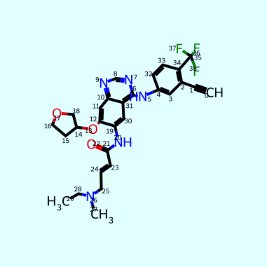 C#Cc1cc(Nc2ncnc3cc(OC4CCOC4)c(NC(=O)/C=C/CN(C)CC)cc23)ccc1C(F)(F)F